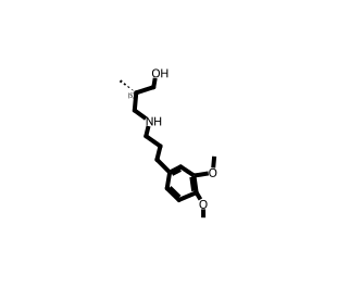 COc1ccc(CCCNC[C@H](C)CO)cc1OC